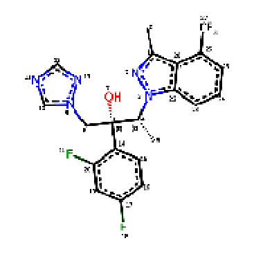 Cc1nn([C@H](C)[C@](O)(Cn2cncn2)c2ccc(F)cc2F)c2cccc(C(F)(F)F)c12